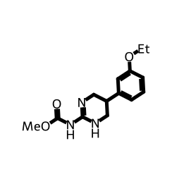 CCOc1cccc(C2CN=C(NC(=O)OC)NC2)c1